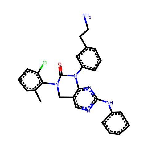 Cc1cccc(Cl)c1N1Cc2cnc(Nc3ccccc3)nc2N(c2cccc(CCN)c2)C1=O